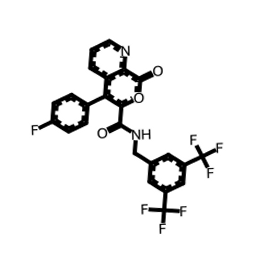 O=C(NCc1cc(C(F)(F)F)cc(C(F)(F)F)c1)c1oc(=O)c2ncccc2c1-c1ccc(F)cc1